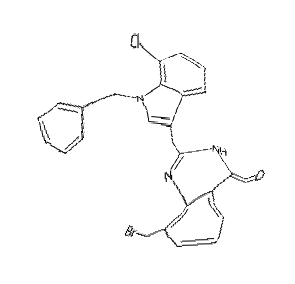 O=c1[nH]c(-c2cn(Cc3ccccc3)c3c(Cl)cccc23)nc2c(Br)cccc12